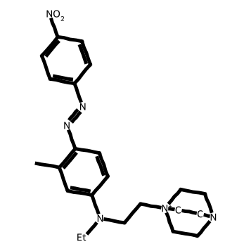 CCN(CC[N+]12CCN(CC1)CC2)c1ccc(N=Nc2ccc([N+](=O)[O-])cc2)c(C)c1